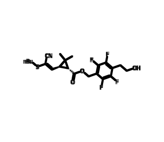 CCCCS/C(C#N)=C/[C@@H]1[C@@H](C(=O)OCc2c(F)c(F)c(CCO)c(F)c2F)C1(C)C